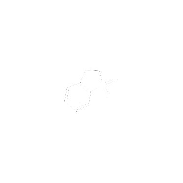 O=S1(=O)CCc2ccncc21